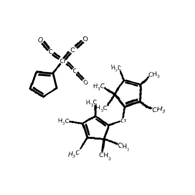 CC1=C(C)C(C)(C)[C]([Cr][C]2=C(C)C(C)=C(C)C2(C)C)=C1C.O=[C]=[Cr](=[C]=O)(=[C]=O)[C]1=CC=CC1